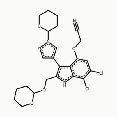 N#CCOc1cc(Cl)c(Cl)c2[nH]c(COC3CCCCO3)c(-c3cnn(C4CCCCO4)c3)c12